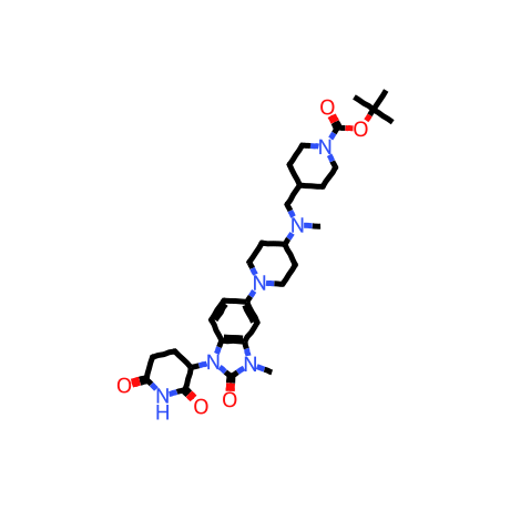 CN(CC1CCN(C(=O)OC(C)(C)C)CC1)C1CCN(c2ccc3c(c2)n(C)c(=O)n3C2CCC(=O)NC2=O)CC1